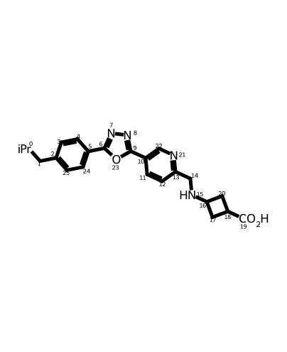 CC(C)Cc1ccc(-c2nnc(-c3ccc(CNC4CC(C(=O)O)C4)nc3)o2)cc1